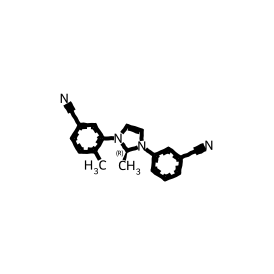 Cc1ccc(C#N)cc1N1C=CN(c2cccc(C#N)c2)[C@H]1C